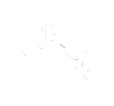 COc1cc(C(=O)NC2CC(F)(F)C2)c(F)cc1NCC#Cc1cc(C(=O)N[C@H]2CCN(C)C[C@@H]2C)c2ncn(CC(F)(F)F)c2c1